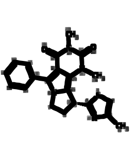 Cc1csc([C@@H]2CCn3c(-c4ccccc4)c4c(=O)n(C)c(=O)n(C)c4c32)n1